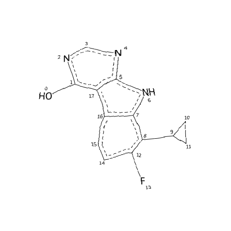 Oc1ncnc2[nH]c3c(C4CC4)c(F)ccc3c12